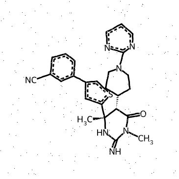 CN1C(=N)N[C@](C)(c2cc(-c3cccc(C#N)c3)cs2)[C@H](C2CCN(c3ncccn3)CC2)C1=O